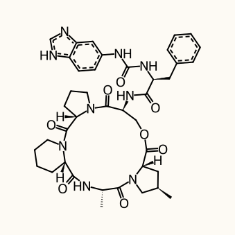 C[C@@H]1C[C@H]2C(=O)OC[C@H](NC(=O)[C@H](Cc3ccccc3)NC(=O)Nc3ccc4[nH]cnc4c3)C(=O)N3CCC[C@H]3C(=O)N3CCCC[C@H]3C(=O)N[C@@H](C)C(=O)N2C1